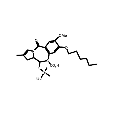 COc1cc2c(cc1OCCCCCI)N(C(=O)O)C(O[Si](C)(C)C(C)(C)C)C1CC(C)=CN1C2=O